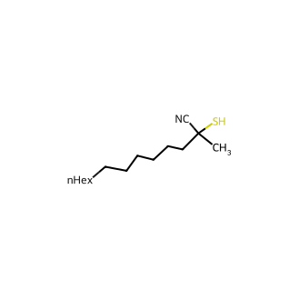 CCCCCCCCCCCCC(C)(S)C#N